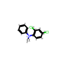 CCN(c1cc[c]cc1)c1ccc(Cl)cc1Cl